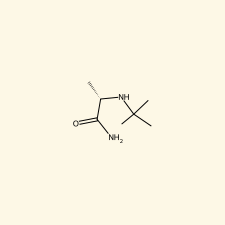 C[C@H](NC(C)(C)C)C(N)=O